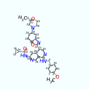 COc1ccc(CNc2ncc(-c3nc4cc(N5CCO[C@@H](C)C5)ccc4o3)c3cc(NC(=O)C4CC4)ncc23)cc1